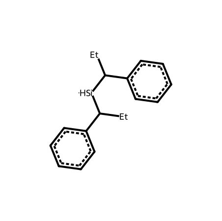 CCC([SiH]C(CC)c1ccccc1)c1ccccc1